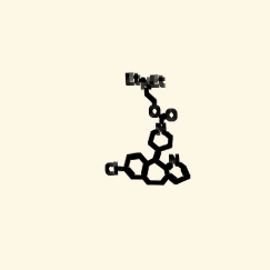 CCN(CC)CCOC(=O)N1CCC(=C2c3ccc(Cl)cc3CCc3cccnc32)CC1